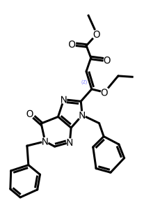 CCO/C(=C\C(=O)C(=O)OC)c1nc2c(=O)n(Cc3ccccc3)cnc2n1Cc1ccccc1